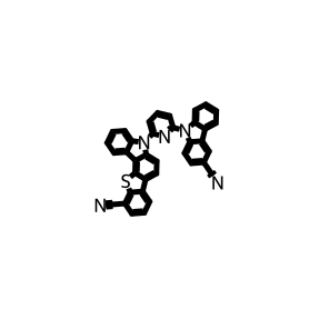 N#Cc1ccc2c(c1)c1ccccc1n2-c1cccc(-n2c3ccccc3c3c4sc5c(C#N)cccc5c4ccc32)n1